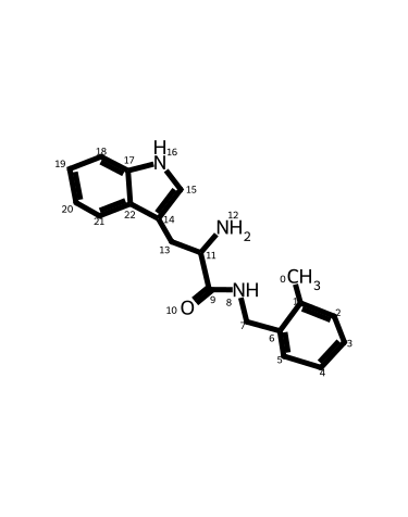 Cc1ccccc1CNC(=O)C(N)Cc1c[nH]c2ccccc12